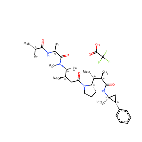 CCOC(=O)[C@]1(NC(=O)[C@H](C)[C@@H](OC)[C@@H]2CCCN2C(=O)C[C@@H](OC)[C@H]([C@@H](C)CC)N(C)C(=O)[C@@H](NC(=O)[C@@H](NC)C(C)C)C(C)C)C[C@@H]1c1ccccc1.O=C(O)C(F)(F)F